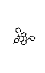 Cc1cccc(-c2cccc3c2c2c(C(C)(C)C)c(-c4ccccc4)ccc2n3-c2ccccc2)c1